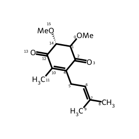 COC1C(=O)C(CC=C(C)C)=C(C)C(=O)[C@@H]1OC